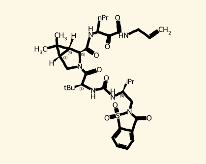 C=CCNC(=O)C(=O)C(CCC)NC(=O)[C@@H]1[C@@H]2[C@H](CN1C(=O)[C@@H](NC(=O)N[C@H](CN1C(=O)c3ccccc3S1(=O)=O)C(C)C)C(C)(C)C)C2(C)C